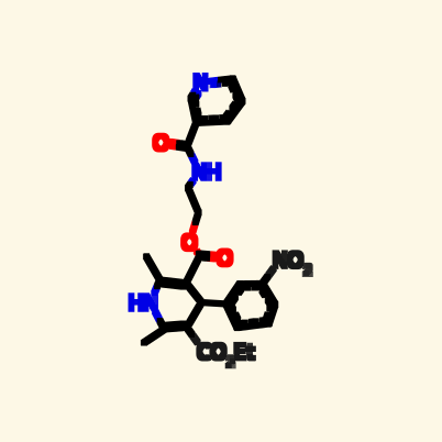 CCOC(=O)C1=C(C)NC(C)=C(C(=O)OCCNC(=O)c2cccnc2)C1c1cccc([N+](=O)[O-])c1